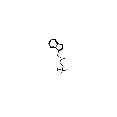 FC(F)(F)CCNCC1=CCc2ccccc21